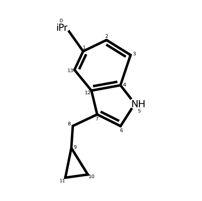 CC(C)c1ccc2[nH]cc(CC3CC3)c2c1